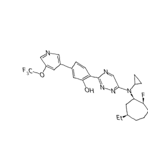 CC[C@@H]1CCC[C@H](F)[C@H](N(c2cnc(-c3ccc(-c4cncc(OC(F)(F)F)c4)cc3O)nn2)C2CC2)C1